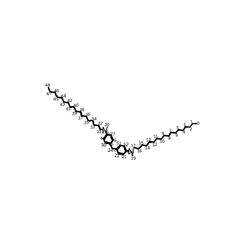 CCCCCCCCCCCCCCCCCCN(C)c1ccc(Cc2ccc(N(C)CCCCCCCCCCCCCCCCCC)cc2)cc1